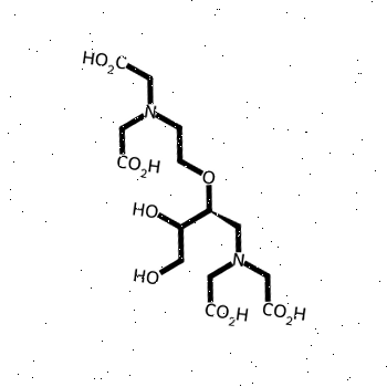 O=C(O)CN(CCO[C@@H](CN(CC(=O)O)CC(=O)O)C(O)CO)CC(=O)O